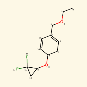 CCOCC1=CCC(OC2CC2(F)F)C=C1